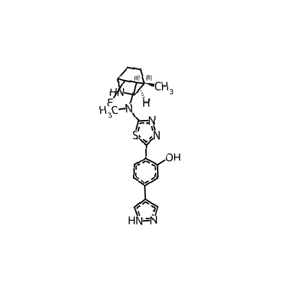 CN(c1nnc(-c2ccc(-c3cn[nH]c3)cc2O)s1)[C@H]1C(F)C2CC[C@]1(C)CN2